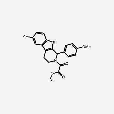 COc1ccc(C2c3[nH]c4ccc(Cl)cc4c3CCN2C(=O)C(=O)OC(C)C)cc1